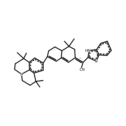 CC1(C)CCN2CCC(C)(C)c3cc(C4=CC5=C/C(=C(\C#N)c6nc7ccccc7[nH]6)CC(C)(C)C5CC4)cc1c32